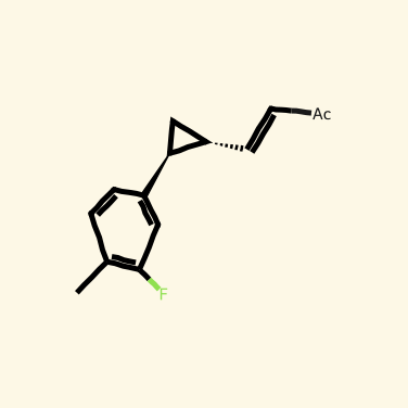 CC(=O)/C=C/[C@H]1C[C@@H]1c1ccc(C)c(F)c1